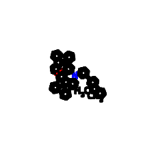 CC1(C)c2ccccc2-c2ccc(-c3cccc(N(c4ccc(C5(c6ccccc6)c6ccccc6-c6ccccc65)cc4)c4cccc5c4-c4ccccc4C5(c4ccccc4)c4ccccc4)c3)cc21